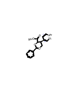 CC/C=C(\C=C/CCC)C1COC(c2ccccc2)OC1C(=O)OC